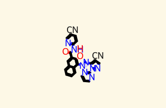 N#Cc1ccc(NC(=O)c2cc3ccccc3c(/N=N/c3c(C#N)cnn3-c3ncccn3)c2O)nc1